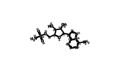 Nc1ncnc2c(C3OC(COS(N)(=O)=O)C(O)C3O)cnn12